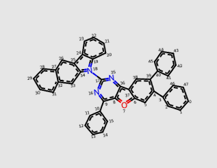 c1ccc(-c2cc3oc4c(-c5ccccc5)nc(-n5c6ccccc6c6cc7ccccc7cc65)nc4c3cc2-c2ccccc2)cc1